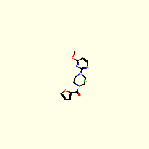 COc1ccnc(N2CCN(C(=O)c3ccco3)CC2)n1.Cl